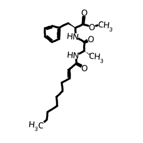 CCCCCCCC=CC(=O)N[C@@H](C)C(=O)N[C@@H](Cc1ccccc1)C(=O)OC